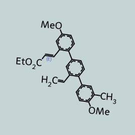 C=Cc1cc(-c2ccc(OC)cc2/C=C/C(=O)OCC)ccc1-c1ccc(OC)c(C)c1